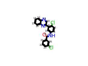 O=C(Nc1ccc(Cl)c(-c2cnc3ccccc3n2)c1)c1cccc(Cl)c1